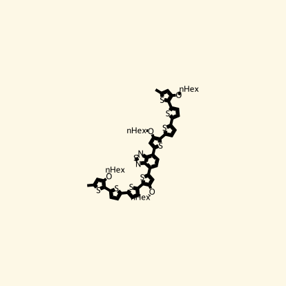 CCCCCCOc1cc(C)sc1-c1ccc(-c2ccc(-c3sc(-c4ccc(-c5cc(OCCCCCC)c(-c6ccc(-c7ccc(-c8sc(C)cc8OCCCCCC)s7)s6)s5)c5nsnc45)cc3OCCCCCC)s2)s1